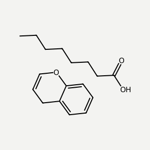 C1=COc2ccccc2C1.CCCCCCCC(=O)O